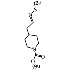 CC(C)(C)OC(=O)N1CCC(C/C=N/SC(C)(C)C)CC1